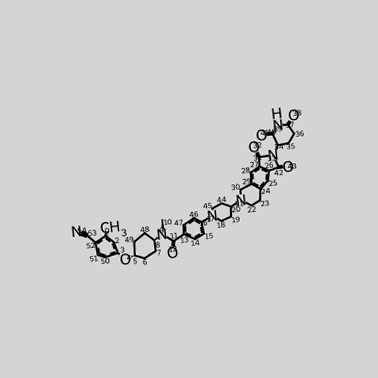 Cc1cc(O[C@H]2CC[C@H](N(I)C(=O)c3ccc(N4CCC(N5CCc6cc7c(cc6C5)C(=O)N(C5CCC(=O)NC5=O)C7=O)CC4)cc3)CC2)ccc1C#N